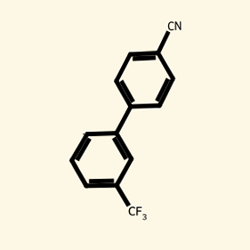 N#Cc1ccc(-c2[c]ccc(C(F)(F)F)c2)cc1